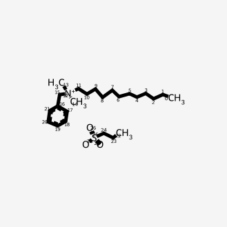 CCCCCCCCCCCC[N+](C)(C)Cc1ccccc1.CCCS(=O)(=O)[O-]